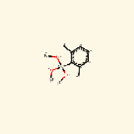 CCO[Si](OCC)(OCC)c1c(C)cccc1C